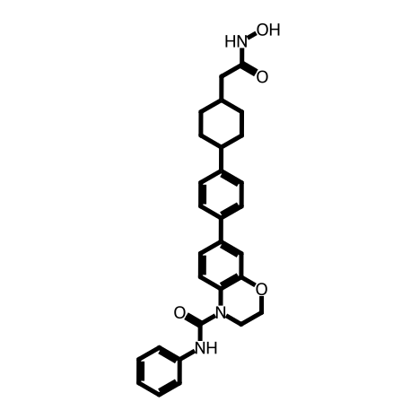 O=C(CC1CCC(c2ccc(-c3ccc4c(c3)OCCN4C(=O)Nc3ccccc3)cc2)CC1)NO